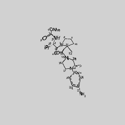 COC(=O)N[C@H](C(=O)N1CCCC1(C)C(=O)N1CCN(c2ccc(N)cn2)C(C)C1)C(C)C